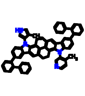 Cc1ccncc1-n1c2ccc(-c3ccccc3-c3ccccc3)cc2c2cc3c4c(c21)CCc1cc2c5cc(-c6ccccc6-c6ccccc6)ccc5n(-c5c[nH]cc5C)c2c(c1-4)CC3